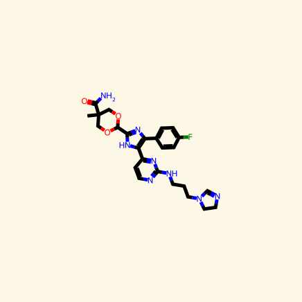 CC1(C(N)=O)COC(c2nc(-c3ccc(F)cc3)c(-c3ccnc(NCCCN4C=NCC4)n3)[nH]2)OC1